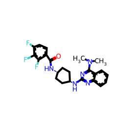 CN(C)c1nc(N[C@H]2CC[C@@H](NC(=O)c3ccc(F)c(F)c3F)CC2)nc2ccccc12